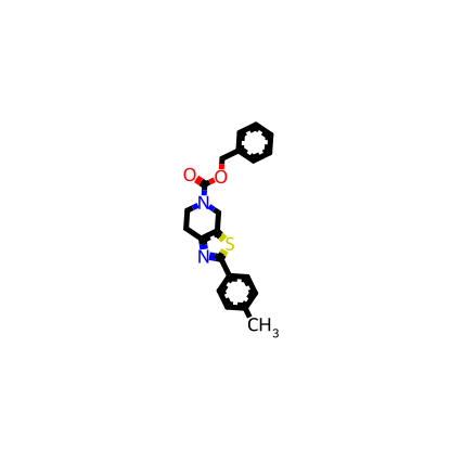 Cc1ccc(-c2nc3c(s2)CN(C(=O)OCc2ccccc2)CC3)cc1